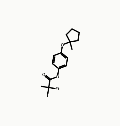 CCC(C)(I)C(=O)Oc1ccc(OC2(C)CCCC2)cc1